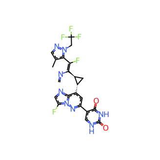 C=N/C(=C(/F)c1c(C)cnn1CC(F)(F)F)[C@H]1C[C@@H]1c1cc(-c2c[nH]c(=O)[nH]c2=O)nn2c(F)cnc12